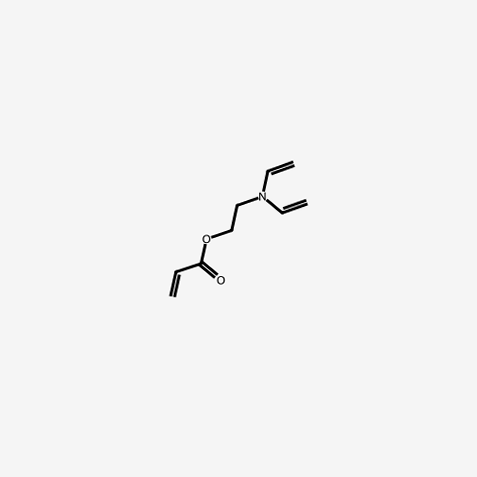 C=CC(=O)OCCN(C=C)C=C